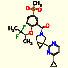 CC(Oc1ccc(S(C)(=O)=O)cc1C(=O)N1CC2CC2(c2nccc(C3CC3)n2)C1)C(C)(F)F